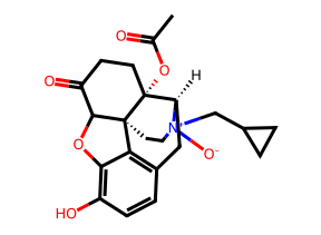 CC(=O)O[C@@]12CCC(=O)C3Oc4c(O)ccc5c4[C@@]31CC[N+]([O-])(CC1CC1)[C@@H]2C5